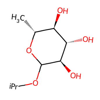 CC(C)OC1O[C@H](C)[C@@H](O)[C@H](O)[C@H]1O